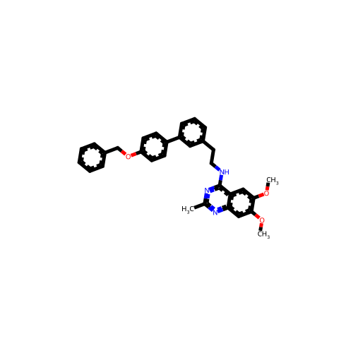 COc1cc2nc(C)nc(NCCc3cccc(-c4ccc(OCc5ccccc5)cc4)c3)c2cc1OC